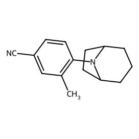 Cc1cc(C#N)ccc1N1C2CCCC1CC2